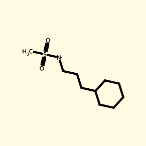 CS(=O)(=O)[N]CCCC1CCCCC1